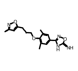 Cc1cc(CCCOc2c(C)cc(-c3noc(=N)[nH]3)cc2C)on1